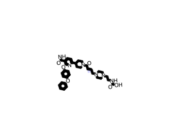 NC(=O)c1ccc(C2CCN(C(=O)/C=C/CN3CCN(CCNC(=O)O)CC3)CC2)nc1Oc1ccc(Oc2ccccc2)cc1